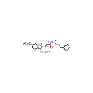 CCCCCc1c(/C=C/C(=O)NC(C)CCCc2cccnc2)oc2cc(OC)ccc12